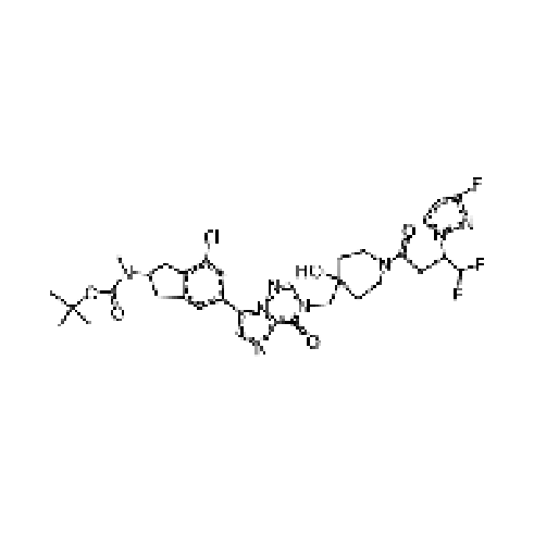 CN(C(=O)OC(C)(C)C)C1Cc2cc(-c3cnc4c(=O)n(CC5(O)CCN(C(=O)CC(C(F)F)n6ccc(F)n6)CC5)cnn34)cc(Cl)c2C1